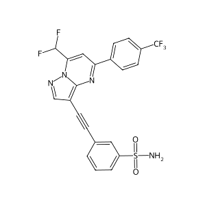 NS(=O)(=O)c1cccc(C#Cc2cnn3c(C(F)F)cc(-c4ccc(C(F)(F)F)cc4)nc23)c1